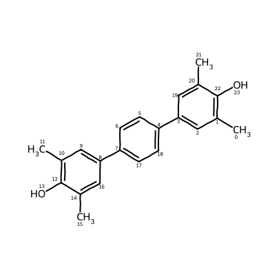 Cc1cc(-c2ccc(-c3cc(C)c(O)c(C)c3)cc2)cc(C)c1O